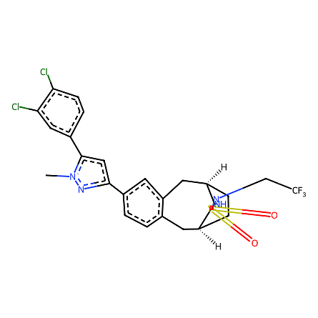 Cn1nc(-c2ccc3c(c2)C[C@H]2CC[C@@H](C3)[C@]23CN(CC(F)(F)F)S(=O)(=O)N3)cc1-c1ccc(Cl)c(Cl)c1